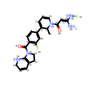 CC1C(c2ccc(C(=O)N3CCC4=C3NCC=C4)c(F)c2)=CC=CN1C(=O)/C=C(\N)NF